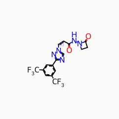 O=C(/C=C\n1cnc(-c2cc(C(F)(F)F)cc(C(F)(F)F)c2)n1)NN1CCC1=O